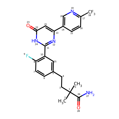 CC(C)(CCc1ccc(F)c(-c2nc(-c3ccc(C(F)(F)F)nc3)cc(=O)[nH]2)c1)C(N)=O